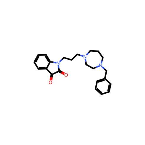 O=C1C(=O)N(CCCN2CCCN(Cc3ccccc3)CC2)c2ccccc21